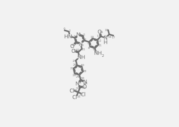 CCNc1ncc(-c2cc(N)cc(C(=O)NC(C)C)c2)n(CC(=O)NCc2ccc(-c3noc(C(Cl)(Cl)Cl)n3)cc2)c1=O